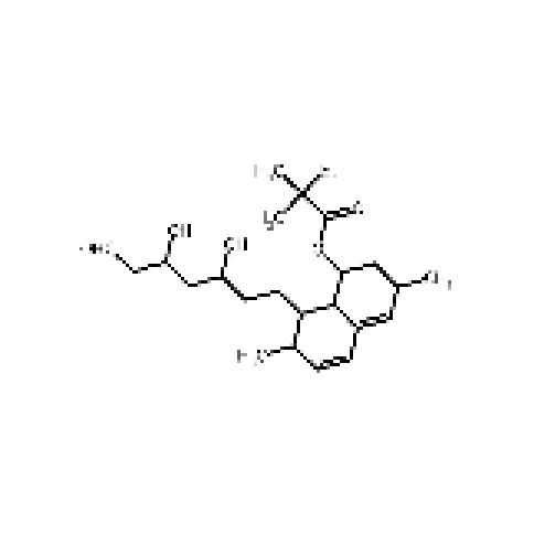 CCC(C)(C)C(=O)OC1CC(C)C=C2C=CC(C)C(CCC(O)CC(O)CC=O)C21